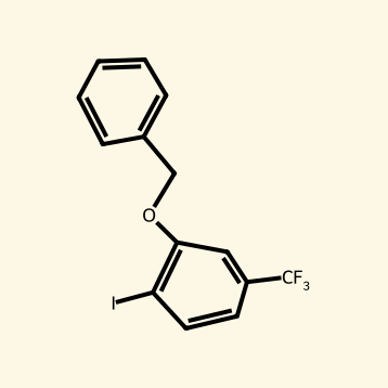 FC(F)(F)c1ccc(I)c(OCc2ccccc2)c1